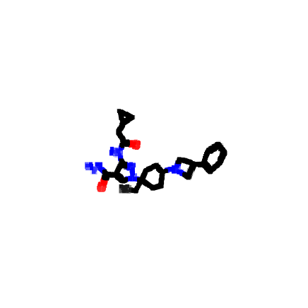 N#CC[C@]1(n2cc(C(N)=O)c(NC(=O)CC3CC3)n2)CC[C@H](N2CC(c3ccccc3)C2)CC1